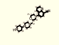 C[C@@H]1CN(c2ccc(C#N)c3ncccc23)C[C@H](CN2CCN(C3CCNCC3)CC2)O1